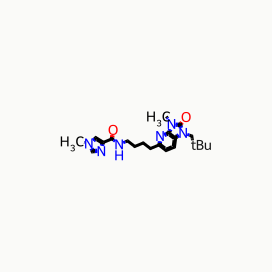 Cn1cnc(C(=O)NCCCCc2ccc3c(n2)n(C)c(=O)n3CC(C)(C)C)c1